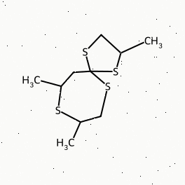 CC1CSC2(CC(C)S1)SCC(C)S2